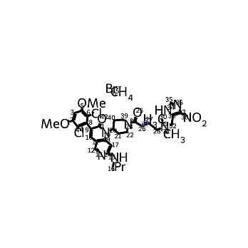 C.COc1cc(OC)c(Cl)c(-c2cc3cnc(NC(C)C)cc3n(C3CCN(C(=O)/C=C/C[N+](C)(C)Cc4[nH]cnc4[N+](=O)[O-])CC3)c2=O)c1Cl.[Br-]